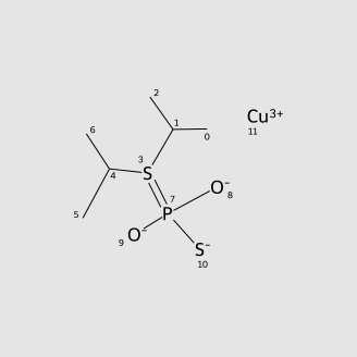 CC(C)S(C(C)C)=P([O-])([O-])[S-].[Cu+3]